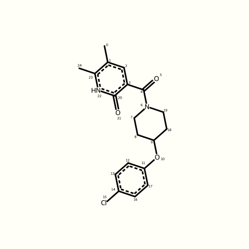 Cc1cc(C(=O)N2CCC(Oc3ccc(Cl)cc3)CC2)c(=O)[nH]c1C